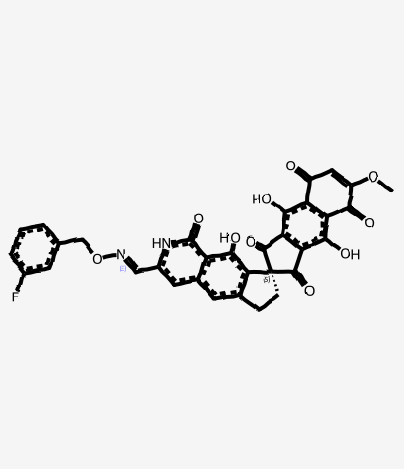 COC1=CC(=O)c2c(O)c3c(c(O)c2C1=O)C(=O)[C@]1(CCc2cc4cc(/C=N/OCc5cccc(F)c5)[nH]c(=O)c4c(O)c21)C3=O